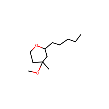 CCCCCC1CC(C)(OC)CCO1